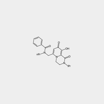 CCCN(Cc1cc(=O)c(O)c2n1CCN(C(C)C)C2=O)C(=O)c1ccccc1